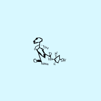 CNC(=O)c1cc(C(=O)N[C@H]2[C@@H]3C[C@@H](O)C[C@@H]32)cc2c1OC[C@@]2(CO)c1ccccc1